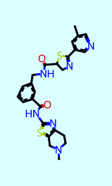 Cc1cncc(C2=NCC(C(=O)NCc3cccc(C(=O)Nc4nc5c(s4)CN(C)CC5)c3)S2)c1